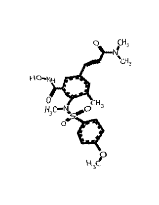 COc1ccc(S(=O)(=O)N(C)c2c(C)cc(C=CC(=O)N(C)C)cc2C(=O)NO)cc1